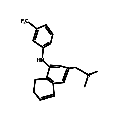 CN(C)Cc1cc2c(c(Nc3cccc(C(F)(F)F)c3)c1)CCC=C2